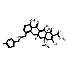 CN(C)[C@H]1C(O)=C(C(N)=O)C(=O)[C@@]2(O)C(O)=C3C(=O)c4c(O)ccc(CNCc5ccc(F)cc5)c4C[C@H]3C[C@@H]12